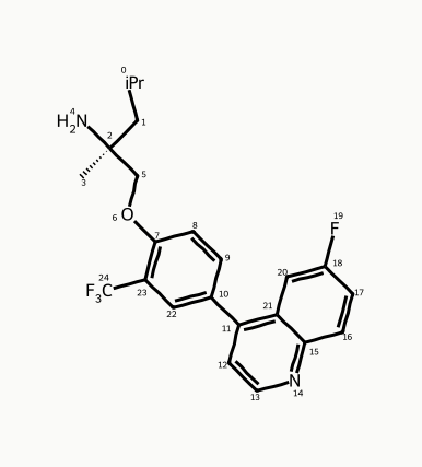 CC(C)C[C@](C)(N)COc1ccc(-c2ccnc3ccc(F)cc23)cc1C(F)(F)F